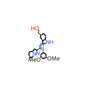 COc1cc(NC([CH]c2c[nH]c3ccc(CCO)cc23)c2cc3ccccn3n2)cc(OC)c1